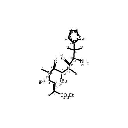 CCOC(=O)/C(C)=C/[C@H](C(C)C)N(C)C(=O)[C@@H](N(C)C(=O)[C@H](N)C(C)(C)c1cccs1)C(C)(C)C